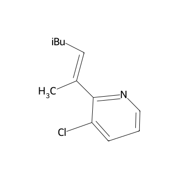 CCC(C)/C=C(\C)c1ncccc1Cl